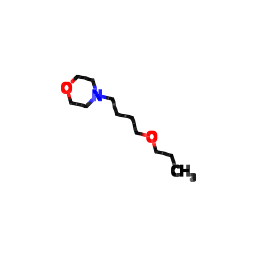 CCCOCCCCN1CCOCC1